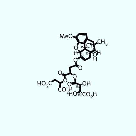 COc1ccc2c3c1O[C@H]1C(OC(=O)CC(OC(=O)[C@H](O)[C@@H](O)C(=O)O)C(=O)OC(CC(=O)O)C(=O)O)=CC[C@@]4(O)[C@@H](C2)N(C)CC[C@]314